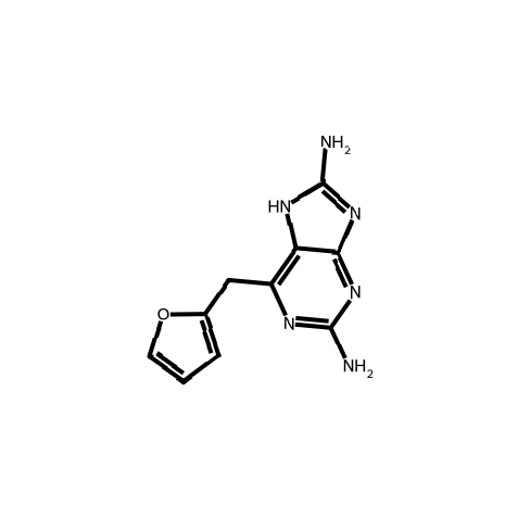 Nc1nc(Cc2ccco2)c2[nH]c(N)nc2n1